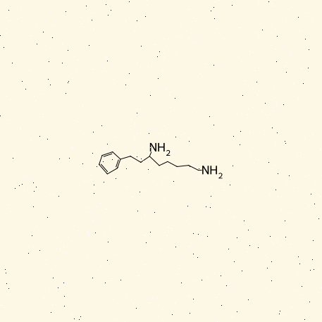 NCCCCCC(N)CCc1ccccc1